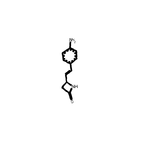 Nc1ccc(C=CC2CC(=O)N2)cc1